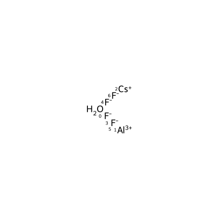 O.[Al+3].[Cs+].[F-].[F-].[F-].[F-]